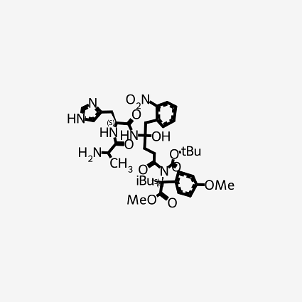 CC[C@H](C)[C@](C(=O)OC)(c1ccc(OC)cc1)N(C(=O)CCC(O)(Cc1ccccc1[N+](=O)[O-])NC(=O)[C@H](Cc1c[nH]cn1)NC(=O)C(C)N)C(=O)OC(C)(C)C